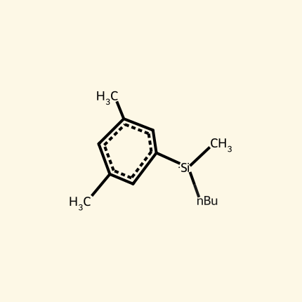 CCCC[Si](C)c1cc(C)cc(C)c1